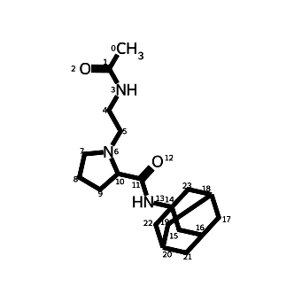 CC(=O)NCCN1CCCC1C(=O)NC12CC3CC(CC(C3)C1)C2